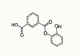 O=C(O)c1cccc(C(=O)Oc2ccccc2O)c1